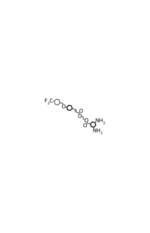 Nc1cc(N)cc(C(=O)OCCOC(=O)/C=C/c2ccc(OCC3CCC(C(F)(F)F)CC3)cc2)c1